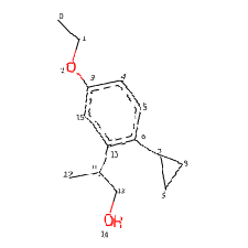 CCOc1ccc(C2CC2)c([C](C)CO)c1